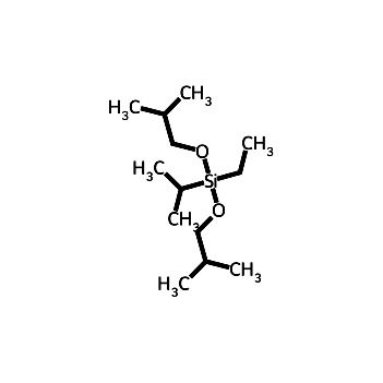 CC[Si](OCC(C)C)(OCC(C)C)C(C)C